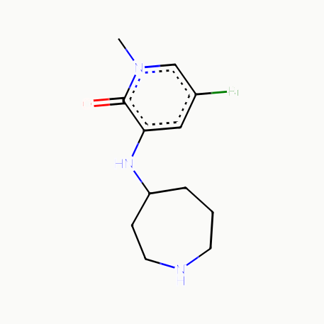 Cn1cc(Br)cc(NC2CCCNCC2)c1=O